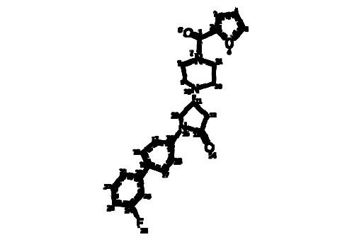 O=C(c1ccco1)N1CCN([C@@H]2CC(=O)N(c3ccc(-c4cccc(F)c4)cc3)C2)CC1